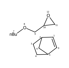 C1=CC2CCC1C2.CCCCOCC1CO1